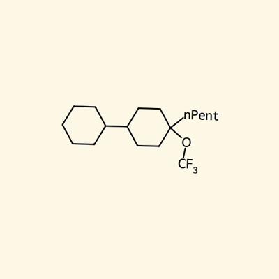 CCCCCC1(OC(F)(F)F)CCC(C2CCCCC2)CC1